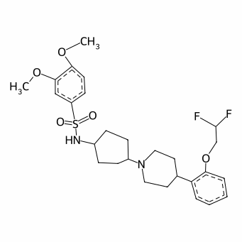 COc1ccc(S(=O)(=O)NC2CCC(N3CCC(c4ccccc4OCC(F)F)CC3)CC2)cc1OC